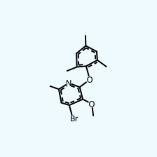 COc1c(Br)cc(C)nc1Oc1c(C)cc(C)cc1C